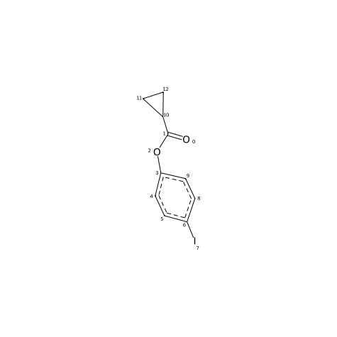 O=C(Oc1ccc(I)cc1)C1CC1